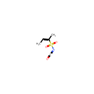 CC=C(C)S(=O)(=O)N=C=O